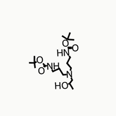 CC(O)CN(CCCNC(=O)OC(C)(C)C)CCCNC(=O)OC(C)(C)C